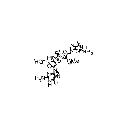 CO[C@H](CNS(=O)(=O)N[C@H]1C[C@H](n2cnc3c(=O)[nH]c(N)nc32)O[C@@H]1CO)[C@@H](O)Cn1cnc2c(=O)[nH]c(N)nc21